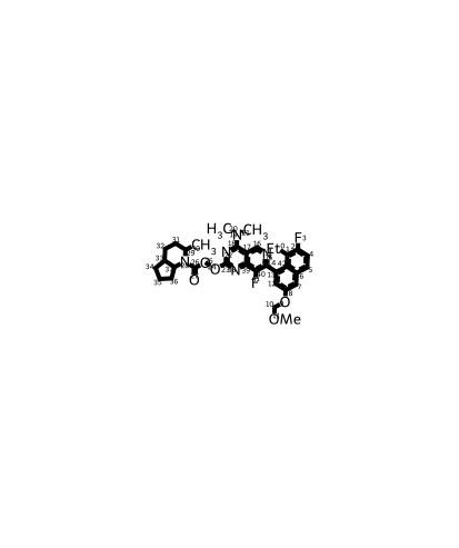 CCc1c(F)ccc2cc(OCOC)cc(-c3ncc4c(N(C)C)nc(OOC(=O)N5C(C)CCC6CCCC65)nc4c3F)c12